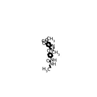 CCCNC(=O)Nc1ccc(Oc2ncnc3cc(OC)c(OC)cc23)c(C)c1